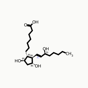 CCCCC[C@H](O)/C=C/[C@@H]1[C@@H](CCCCCCC(=O)O)[C@H](O)C[C@H]1O